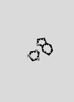 c1ccc2sccc2c1.c1ncncn1